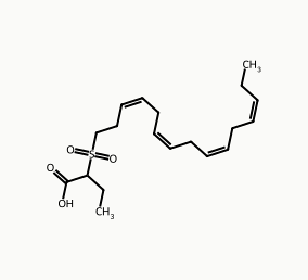 CC/C=C\C/C=C\C/C=C\C/C=C\CCS(=O)(=O)C(CC)C(=O)O